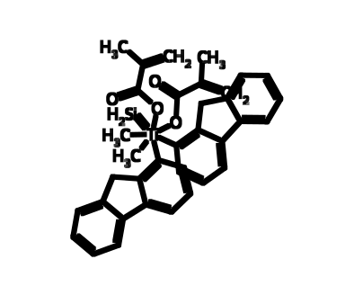 C=C(C)C(=O)[O][Ti]([CH3])([CH3])(=[SiH2])([O]C(=O)C(=C)C)([c]1cccc2c1Cc1ccccc1-2)[c]1cccc2c1Cc1ccccc1-2